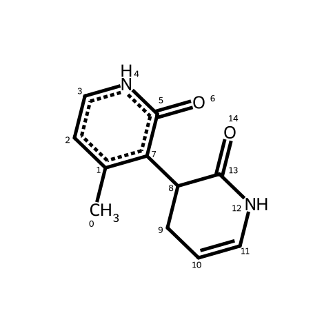 Cc1cc[nH]c(=O)c1C1CC=CNC1=O